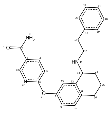 NC(=O)c1ccc(Oc2ccc3c(c2)C(NCCc2ccccc2)CCC3)nc1